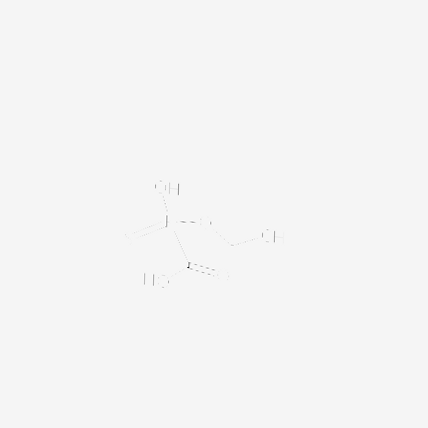 CCOP(O)(=S)C(=O)O